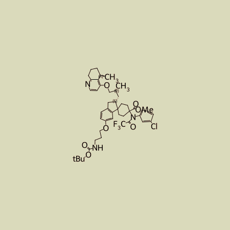 COC(=O)C1(N(C(=O)C(F)(F)F)c2cccc(Cl)c2)CCC2(CC1)c1cc(OCCCNC(=O)OC(C)(C)C)ccc1C[C@@H]2C[C@@H](C)COc1ccnc2c1[C@H](C)CCC2